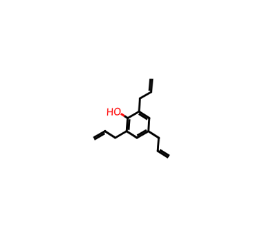 C=CCc1cc(CC=C)c(O)c(CC=C)c1